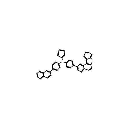 c1ccc(N(c2ccc(-c3ccc4ccccc4c3)cc2)c2ccc(-c3ccc4ccc5oc6ccccc6c5c4c3)cc2)cc1